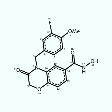 COc1ccc(CN2C(=O)COc3ccc(C(=O)NO)cc32)cc1F